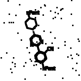 CCCCCc1ccc(-c2ncc([C@H]3CC[C@H](CCCCC)CC3)cn2)c(C#N)c1